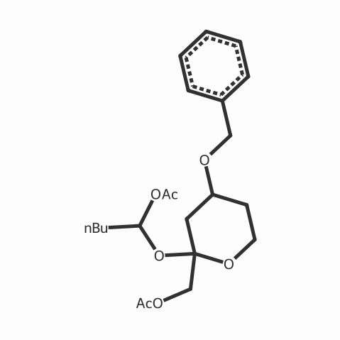 CCCCC(OC(C)=O)OC1(COC(C)=O)CC(OCc2ccccc2)CCO1